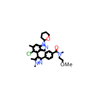 COCCN(C)C(=O)c1ccc(-c2nn(C)c(C)c2-c2c(Cl)c(C)cc3c2cnn3C2CCCCO2)cc1